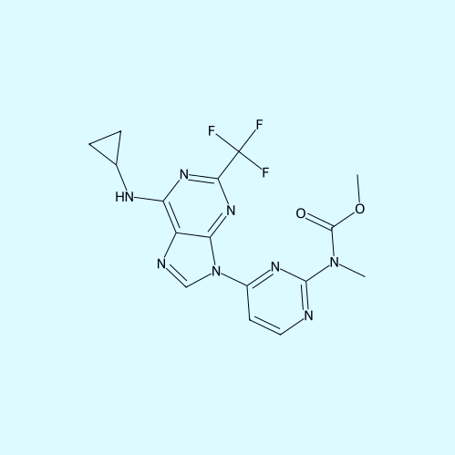 COC(=O)N(C)c1nccc(-n2cnc3c(NC4CC4)nc(C(F)(F)F)nc32)n1